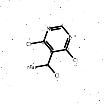 CCCCC(Cl)c1c(Cl)ncnc1Cl